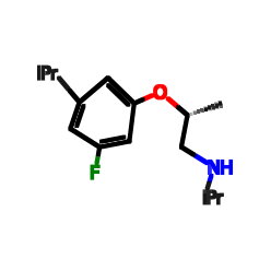 CC(C)NC[C@@H](C)Oc1cc(F)cc(C(C)C)c1